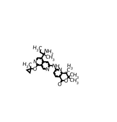 CC[C@](C)(N)c1cnc(OC2(C)CC2)c2cnc(Nc3ccc4c(n3)[C@@H](C)C(C)(C)OC4=O)cc12